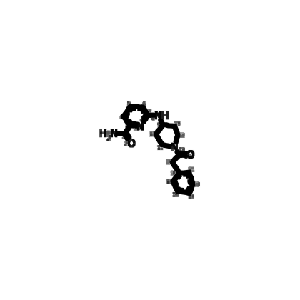 NC(=O)c1[c]ccc(NC2CCN(C(=O)Cc3ccccc3)CC2)n1